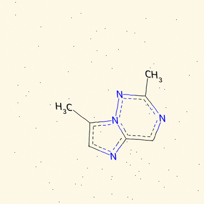 Cc1ncc2ncc(C)n2n1